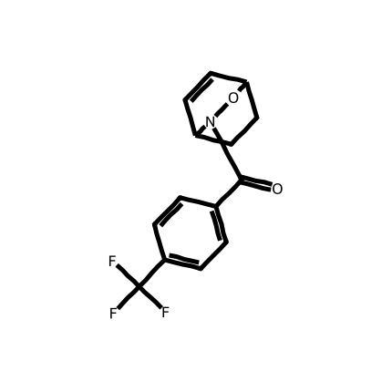 O=C(c1ccc(C(F)(F)F)cc1)N1OC2C=CC1CC2